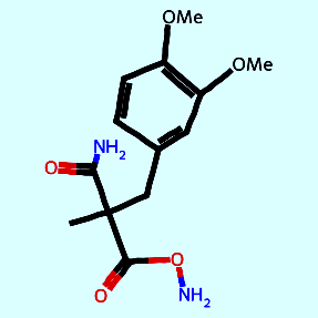 COc1ccc(CC(C)(C(N)=O)C(=O)ON)cc1OC